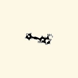 Nc1ncnc2[nH]c(C#Cc3ccoc3)cc12